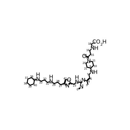 C=N/C(=N\C(C)=C/CNC1CCN(C(=O)CCNCC(=O)O)CC1)NCc1nc(CCCNCCCNC2CCCCC2)co1